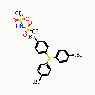 CC(C)(C)c1ccc([S+](c2ccc(C(C)(C)C)cc2)c2ccc(C(C)(C)C)cc2)cc1.O=S(=O)(NS(=O)(=O)C(F)(F)F)C(F)(F)F